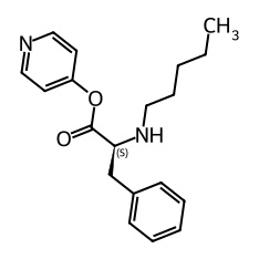 CCCCCN[C@@H](Cc1ccccc1)C(=O)Oc1ccncc1